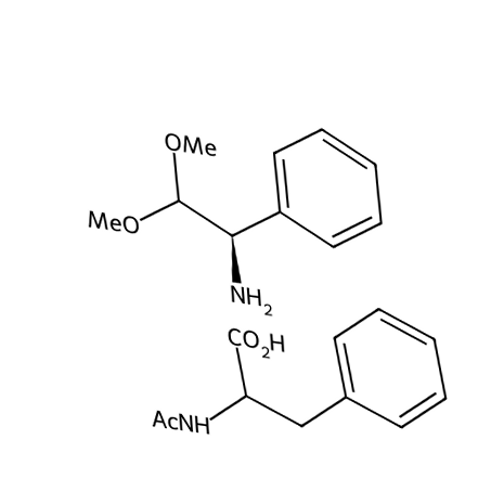 CC(=O)NC(Cc1ccccc1)C(=O)O.COC(OC)[C@H](N)c1ccccc1